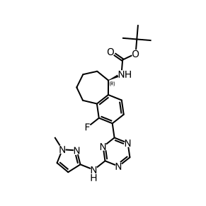 Cn1ccc(Nc2ncnc(-c3ccc4c(c3F)CCCC[C@H]4NC(=O)OC(C)(C)C)n2)n1